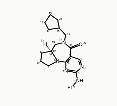 CCNc1ncc2c(n1)N1CCC[C@H]1CN(CC1CCCC1)C2=O